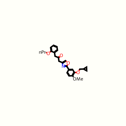 CCCOc1ccccc1CC(=O)Cc1coc(-c2ccc(OC)c(OCC3CC3)c2)n1